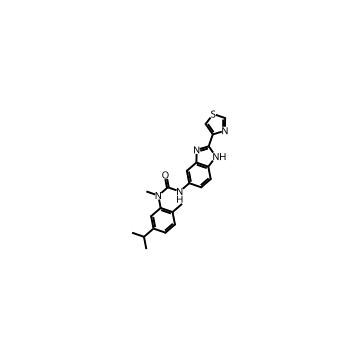 Cc1ccc(C(C)C)cc1N(C)C(=O)Nc1ccc2[nH]c(-c3cscn3)nc2c1